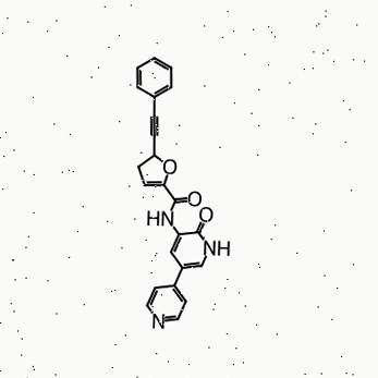 O=C(Nc1cc(-c2ccncc2)c[nH]c1=O)C1=CCC(C#Cc2ccccc2)O1